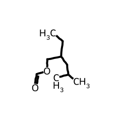 CCC(COC=O)CC(C)C